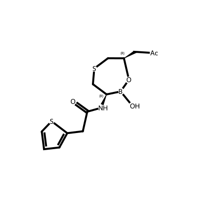 CC(=O)C[C@@H]1CSC[C@H](NC(=O)Cc2cccs2)B(O)O1